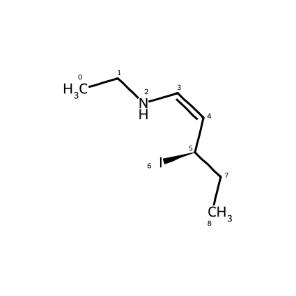 CCN/C=C\[C@H](I)CC